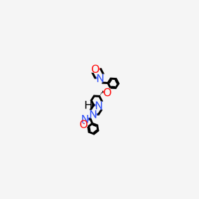 c1ccc(OC[C@H]2CC[C@H]3CN(c4noc5ccccc45)CCN3C2)c(CN2CCOCC2)c1